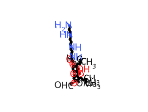 COc1c(OCC=O)cc2oc3cc(OCC(=O)NCCCNCCCCNCCCN)c(CC=C(C)C)c(O)c3c(=O)c2c1CC=C(C)C